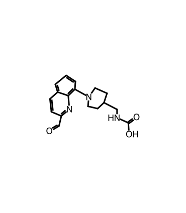 O=Cc1ccc2cccc(N3CCC(CNC(=O)O)CC3)c2n1